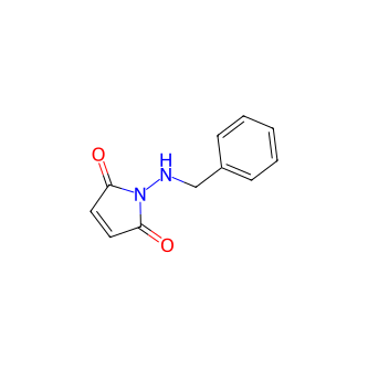 O=C1C=CC(=O)N1NCc1ccccc1